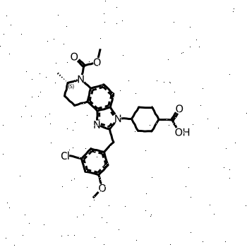 COC(=O)N1c2ccc3c(nc(Cc4cc(Cl)cc(OC)c4)n3C3CCC(C(=O)O)CC3)c2CC[C@@H]1C